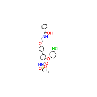 CS(=O)(=O)NC(=O)c1ccc(-c2ccc(OCCNC[C@H](O)c3ccccc3)cc2)cc1OC1CCCCCC1.Cl